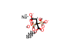 O=C([O-])CC(C(=O)[O-])(S(=O)(=O)[O-])S(=O)(=O)[O-].[Na+].[Na+].[Na+].[Na+]